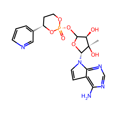 C[C@@]1(O)[C@H](O)C(O[P@@]2(=O)OCC[C@@H](c3cccnc3)O2)O[C@H]1n1ccc2c(N)ncnc21